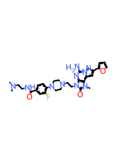 CN(C)CCNC(=O)c1ccc(N2CCN(CCn3c(=O)n(C)c4c3nc(N)n3nc(-c5ccco5)cc43)CC2)c(F)c1